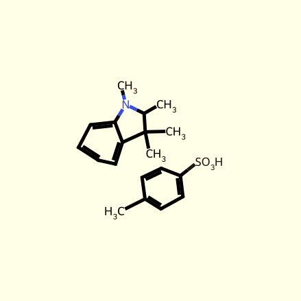 CC1N(C)c2ccccc2C1(C)C.Cc1ccc(S(=O)(=O)O)cc1